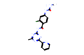 CCNC(=O)Nc1ccc(C(=O)Nc2nc(C)nc(-c3ccccn3)n2)c(Cl)c1